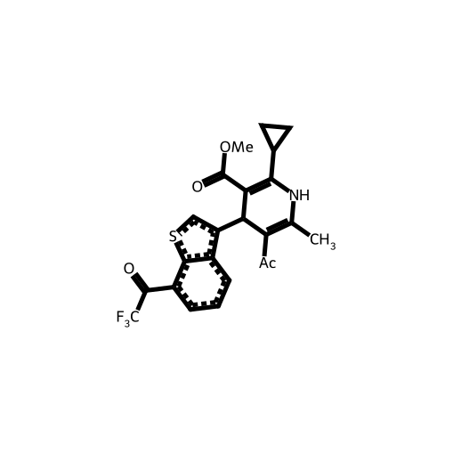 COC(=O)C1=C(C2CC2)NC(C)=C(C(C)=O)C1c1csc2c(C(=O)C(F)(F)F)cccc12